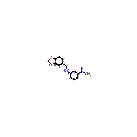 CNc1cccc(NCc2ccc3c(c2)OCO3)c1